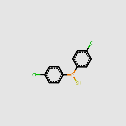 SP(c1ccc(Cl)cc1)c1ccc(Cl)cc1